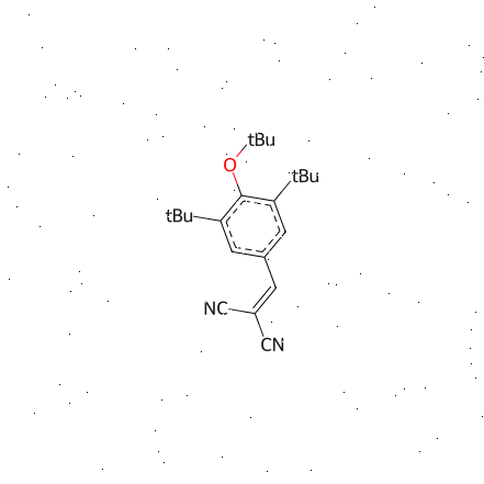 CC(C)(C)Oc1c(C(C)(C)C)cc(C=C(C#N)C#N)cc1C(C)(C)C